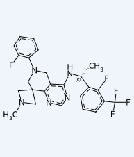 C[C@@H](Nc1ncnc2c1CN(c1ccccc1F)CC21CN(C)C1)c1cccc(C(F)(F)F)c1F